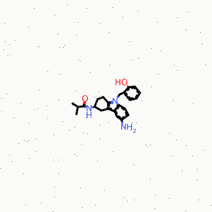 CC(C)C(=O)NC1CCc2c(c3cc(N)ccc3n2Cc2ccccc2O)C1